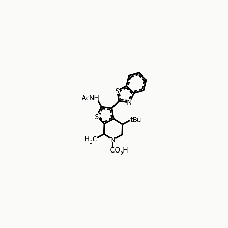 CC(=O)Nc1sc2c(c1-c1nc3ccccc3s1)C(C(C)(C)C)CN(C(=O)O)C2C